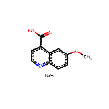 COc1ccc2nccc(C(=O)O)c2c1.[NaH]